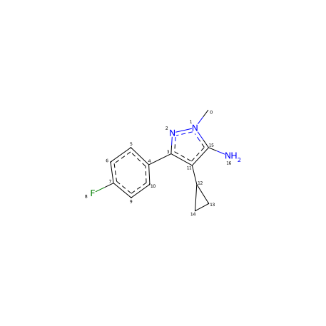 Cn1nc(-c2ccc(F)cc2)c(C2CC2)c1N